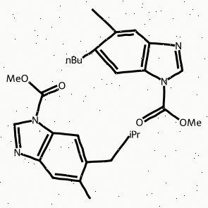 CCCCc1cc2c(cc1C)ncn2C(=O)OC.COC(=O)n1cnc2cc(C)c(CC(C)C)cc21